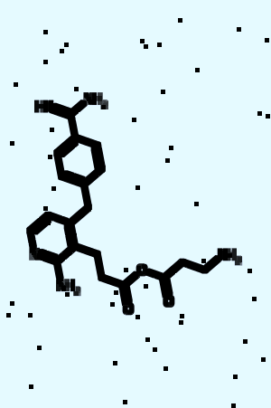 N=C(N)c1ccc(Cc2ccnc(N)c2CCC(=O)OC(=O)CCN)cc1